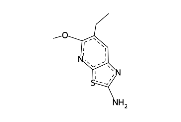 CCc1cc2nc(N)sc2nc1OC